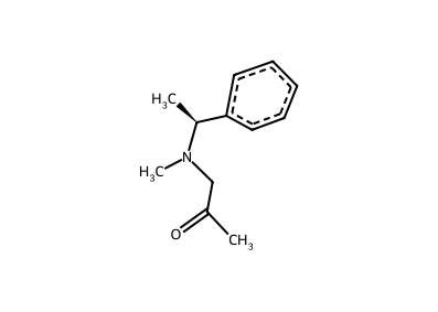 CC(=O)CN(C)[C@@H](C)c1ccccc1